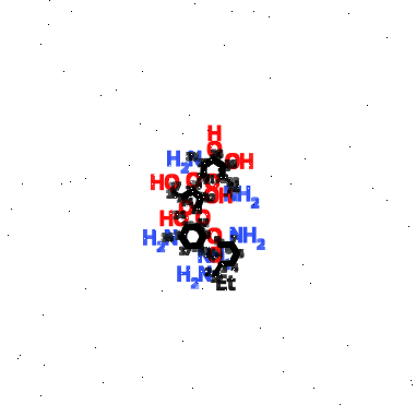 CCC(N)[C@@H]1CC[C@@H](N)[C@@H](O[C@H]2[C@H](O[C@@H]3O[C@H](CO)[C@@H](O[C@H]4O[C@@H](CN)[C@@H](O)[C@H](O)[C@H]4N)[C@H]3O)[C@@H](O)[C@H](N)C[C@@H]2N)O1